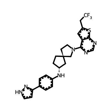 FC(F)(F)Cc1cc2c(N3CC[C@@]4(CC[C@@H](Nc5ccc(-c6cc[nH]n6)cc5)C4)C3)ncnc2s1